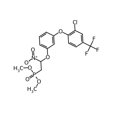 COP(=O)(CC(Oc1cccc(Oc2ccc(C(F)(F)F)cc2Cl)c1)[N+](=O)[O-])OC